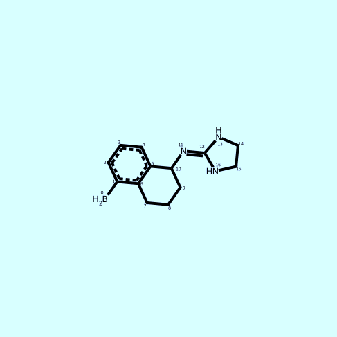 Bc1cccc2c1CCCC2N=C1NCCN1